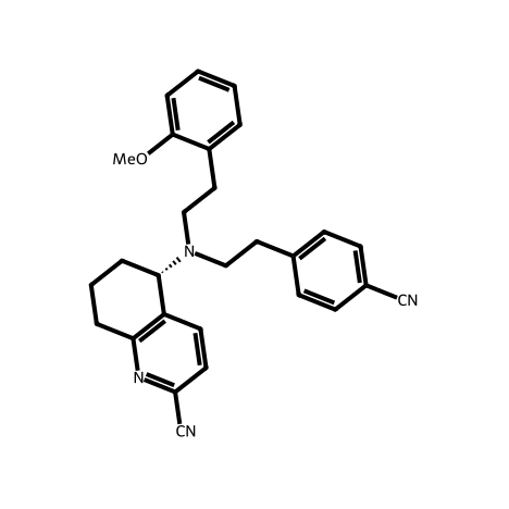 COc1ccccc1CCN(CCc1ccc(C#N)cc1)[C@H]1CCCc2nc(C#N)ccc21